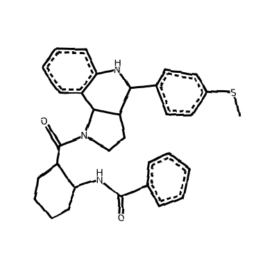 CSc1ccc(C2Nc3ccccc3C3C2CCN3C(=O)C2CCCCC2NC(=O)c2ccccc2)cc1